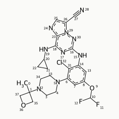 CC1(N2CCN(c3cc(OC(F)F)cc(Nc4nc(NC5CC5)c5ncc(C#N)n5n4)c3Cl)CC2)COC1